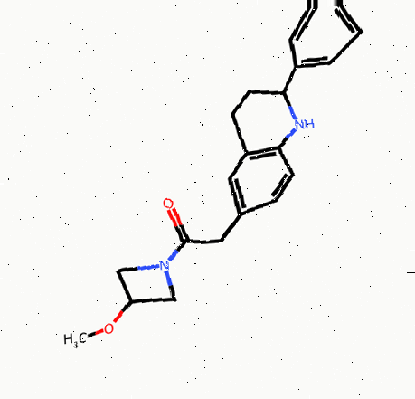 COC1CN(C(=O)Cc2ccc3c(c2)CCC(c2ccccc2)N3)C1